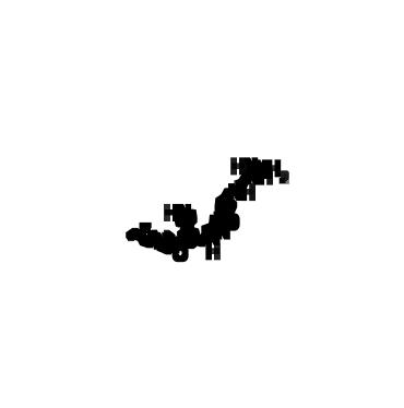 C=C(/C=C\C(F)=C/C)N1CCN(C(=O)c2cc(Cc3cc4cn(-c5ccc(CNCCCNC(=N)N)cc5)c(=O)nc4[nH]3)cc(N3CCNCC3)c2)CC1